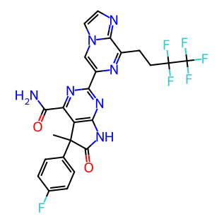 CC1(c2ccc(F)cc2)C(=O)Nc2nc(-c3cn4ccnc4c(CCC(F)(F)C(F)(F)F)n3)nc(C(N)=O)c21